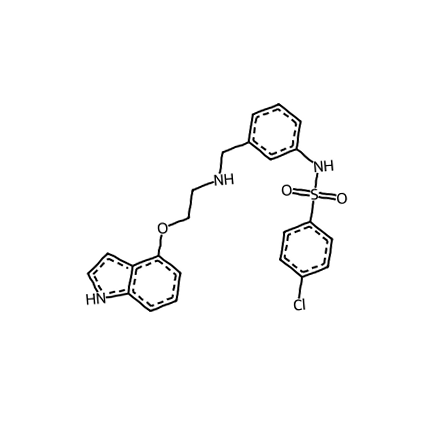 O=S(=O)(Nc1cccc(CNCCOc2cccc3[nH]ccc23)c1)c1ccc(Cl)cc1